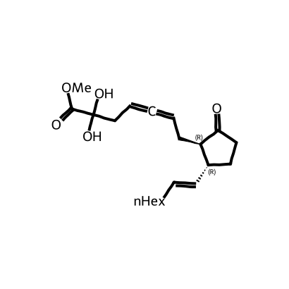 CCCCCCC=C[C@H]1CCC(=O)[C@@H]1CC=C=CCC(O)(O)C(=O)OC